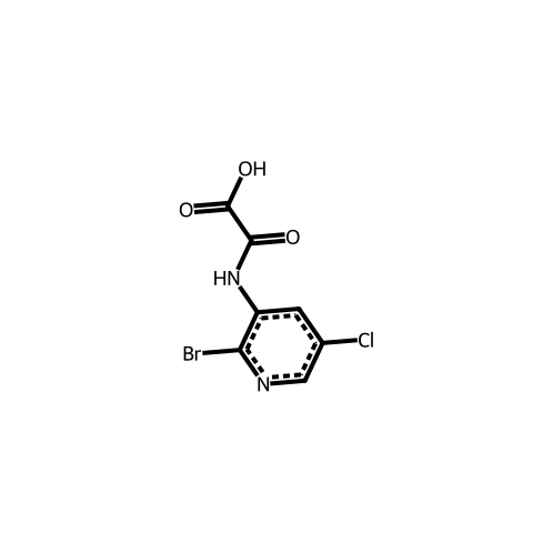 O=C(O)C(=O)Nc1cc(Cl)cnc1Br